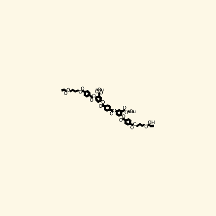 C=CC(=O)OCCCCOC(=O)c1ccc(C(=O)Oc2ccc(OC(=O)C3CCC(C(=O)Oc4ccc(OC(=O)c5ccc(C(=O)OCCCCOC(O)C=C)cc5)c(C(=O)OCCCC)c4)CC3)cc2C(=O)OCCCC)cc1